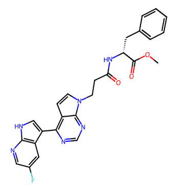 COC(=O)[C@@H](Cc1ccccc1)NC(=O)CCn1ccc2c(-c3c[nH]c4ncc(F)cc34)ncnc21